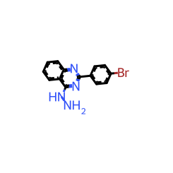 NNc1nc(-c2ccc(Br)cc2)nc2ccccc12